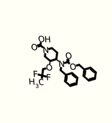 CC(F)(F)CO[C@H]1CN(C(=O)O)CC[C@H]1N(Cc1ccccc1)C(=O)OCc1ccccc1